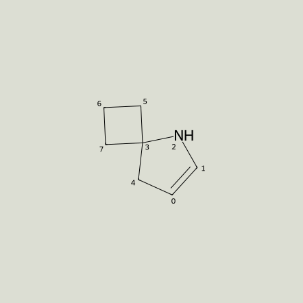 C1=CNC2(C1)CCC2